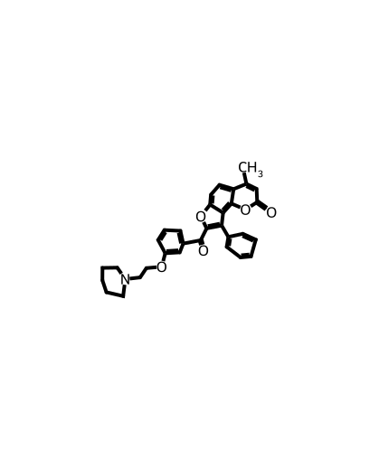 Cc1cc(=O)oc2c1ccc1oc(C(=O)c3cccc(OCCN4CCCCC4)c3)c(-c3ccccc3)c12